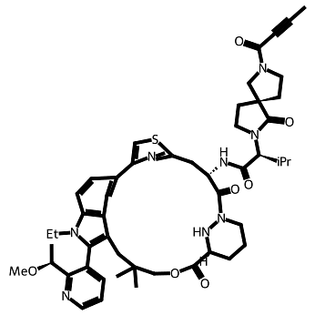 CC#CC(=O)N1CC[C@@]2(CCN([C@H](C(=O)N[C@H]3Cc4nc(cs4)-c4ccc5c(c4)c(c(-c4cccnc4[C@H](C)OC)n5CC)CC(C)(C)COC(=O)[C@@H]4CCCN(N4)C3=O)C(C)C)C2=O)C1